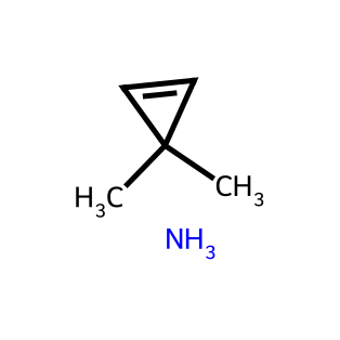 CC1(C)C=C1.N